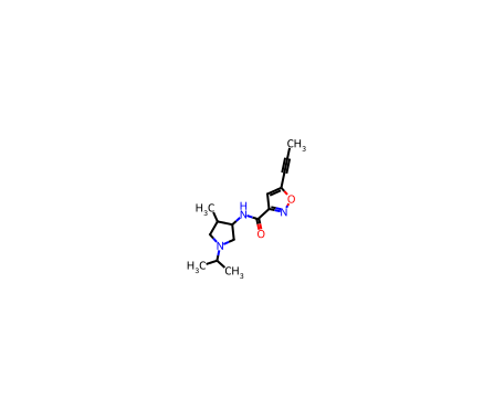 CC#Cc1cc(C(=O)NC2CN(C(C)C)CC2C)no1